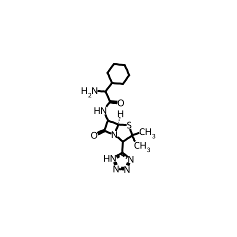 CC1(C)S[C@@H]2C(NC(=O)C(N)C3CCCCC3)C(=O)N2C1c1nnn[nH]1